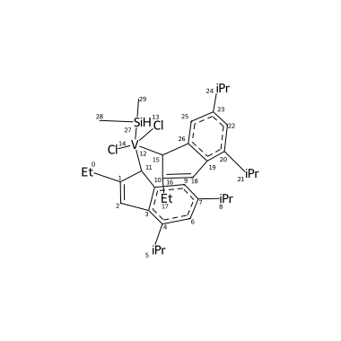 CCC1=Cc2c(C(C)C)cc(C(C)C)cc2[CH]1[V]([Cl])([Cl])([CH]1C(CC)=Cc2c(C(C)C)cc(C(C)C)cc21)[SiH](C)C